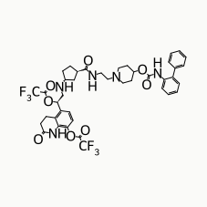 O=C1CCc2c([C@H](CN[C@H]3CC[C@@H](C(=O)NCCN4CCC(OC(=O)Nc5ccccc5-c5ccccc5)CC4)C3)OC(=O)C(F)(F)F)ccc(OC(=O)C(F)(F)F)c2N1